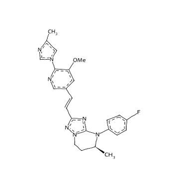 COc1cc(/C=C/c2nc3n(n2)CC[C@H](C)N3c2ccc(F)cc2)cnc1-n1cnc(C)c1